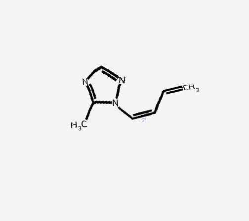 C=C/C=C\n1ncnc1C